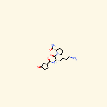 NCCCC[C@H](NC(=O)C1CCC(=O)C1)C(=O)N1CCC[C@H]1C(N)=O